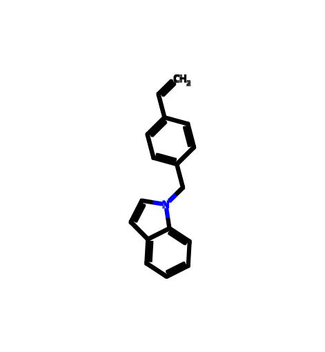 C=Cc1ccc(Cn2ccc3ccccc32)cc1